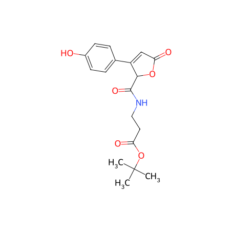 CC(C)(C)OC(=O)CCNC(=O)C1OC(=O)C=C1c1ccc(O)cc1